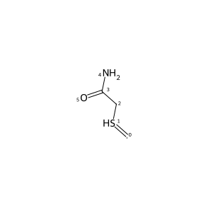 [CH]=[SH]CC(N)=O